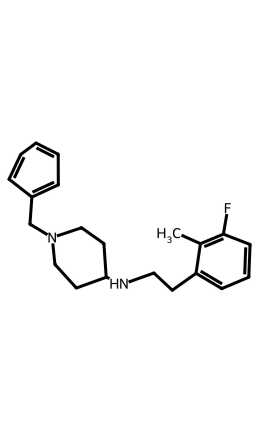 Cc1c(F)cccc1CCNC1CCN(Cc2ccccc2)CC1